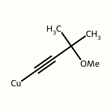 COC(C)(C)C#[C][Cu]